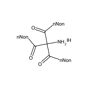 CCCCCCCCCC(=O)C(N)(C(=O)CCCCCCCCC)C(=O)CCCCCCCCC.I